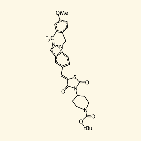 COc1ccc(Cn2ncc3cc(/C=C4\SC(=O)N(C5CCN(C(=O)OC(C)(C)C)CC5)C4=O)ccc32)c(C(F)(F)F)c1